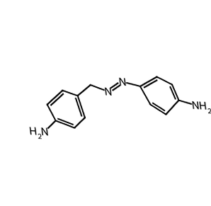 Nc1ccc(CN=Nc2ccc(N)cc2)cc1